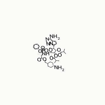 CC(C)C(=O)O[C@H]1[C@H](c2ccc3c(N)ncnn23)O[C@](C)(CO[P@@](=O)(N[C@@H](C)C(=O)OC[C@H]2CC[C@H](N)CC2)Oc2ccccc2)[C@H]1OC(=O)C(C)C